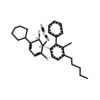 CCCCCc1ccc([C@]2(N=C=S)C(F)=CC=C(C3CCCCC3)[C@H]2F)c(-c2ccccc2)c1C